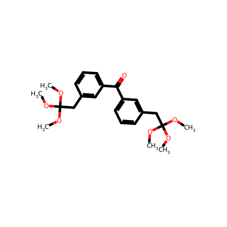 COC(Cc1cccc(C(=O)c2cccc(CC(OC)(OC)OC)c2)c1)(OC)OC